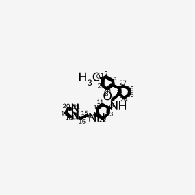 Cc1ccc(C2=C(C(=O)Nc3ccc(NCCn4cccn4)cc3)CCCC2)cc1